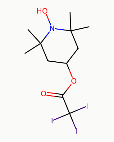 CC1(C)CC(OC(=O)C(I)(I)I)CC(C)(C)N1O